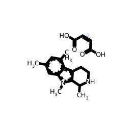 Cc1cc(C)c2c3c(n(C)c2c1)C(C)NCC3.O=C(O)/C=C\C(=O)O